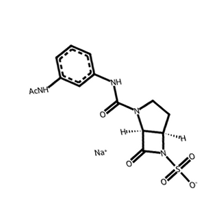 CC(=O)Nc1cccc(NC(=O)N2CC[C@@H]3[C@H]2C(=O)N3S(=O)(=O)[O-])c1.[Na+]